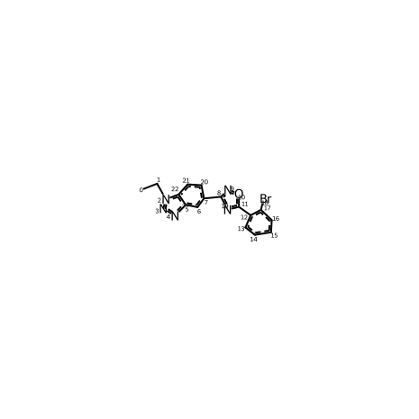 CCn1nnc2cc(-c3noc(-c4ccccc4Br)n3)ccc21